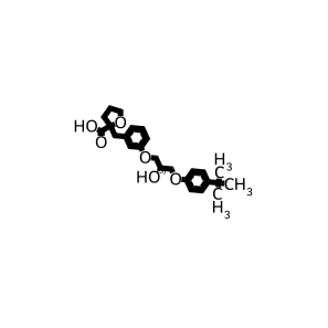 CC(C)(C)c1ccc(OC[C@H](O)COc2cccc(CC3(C(=O)O)CCCO3)c2)cc1